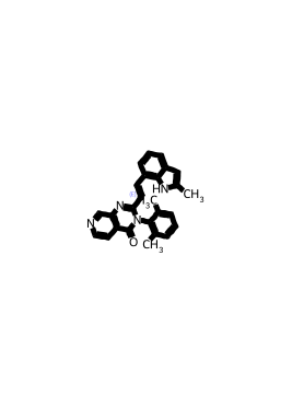 Cc1cc2cccc(/C=C/c3nc4cnccc4c(=O)n3-c3c(C)cccc3C)c2[nH]1